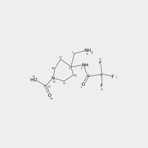 NCC1(NC(=O)C(F)(F)F)CCN(C(=O)O)CC1